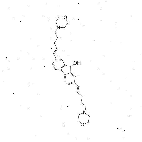 OC1c2cc(C=CCCCN3CCOCC3)ccc2-c2ccc(C=CCCCN3CCOCC3)cc21